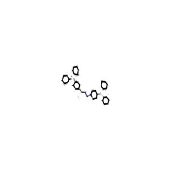 O=C(/C=C/c1ccc(N(c2ccccc2)c2ccccc2)cc1)c1ccc(N(c2ccccc2)c2ccccc2)cc1